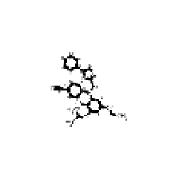 CCOc1cc(OC(C)C)c(F)c(N(Cc2nc(-c3ccccc3)co2)c2ccc(C#N)cc2)c1